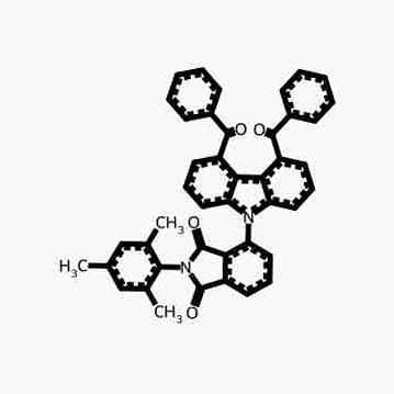 Cc1cc(C)c(N2C(=O)c3cccc(-n4c5cccc(C(=O)c6ccccc6)c5c5c(C(=O)c6ccccc6)cccc54)c3C2=O)c(C)c1